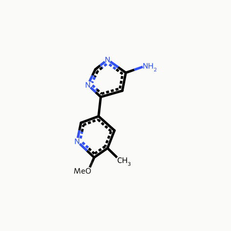 COc1ncc(-c2cc(N)ncn2)cc1C